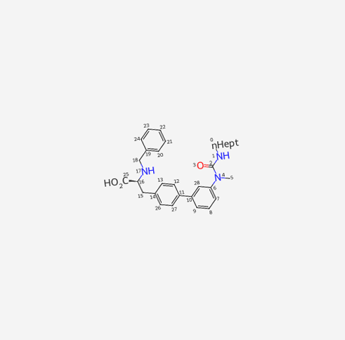 CCCCCCCNC(=O)N(C)c1cccc(-c2ccc(C[C@H](NCc3ccccc3)C(=O)O)cc2)c1